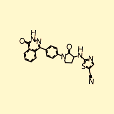 N#Cc1cnc(NC2CCN(c3ccc(-c4n[nH]c(=O)c5ccccc45)cc3)C2=O)s1